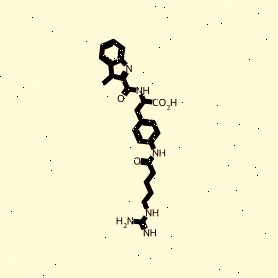 CC1C(C(=O)NC(Cc2ccc(NC(=O)CCCCNC(=N)N)cc2)C(=O)O)=Nc2ccccc21